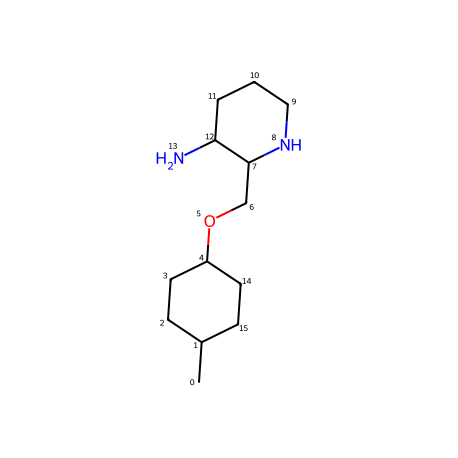 CC1CCC(OCC2NCCCC2N)CC1